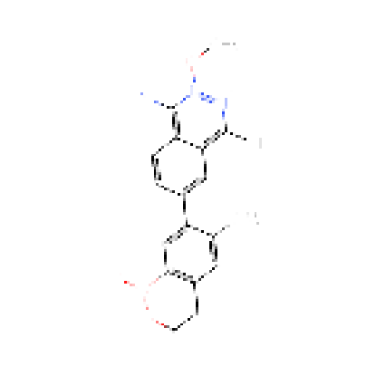 COc1cc2c(cc1-c1ccc3c(N)[n+](OC=O)nc(C)c3c1)B(O)OCC2